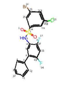 O=S(=O)(Nc1cc(-c2ccccc2)c(F)cc1F)c1cc(Cl)cc(Br)c1